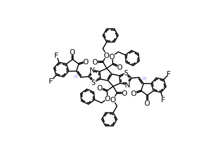 O=C1C(=O)c2c(F)cc(F)cc2/C1=C/c1nc2c(s1)C1=C(c3sc(/C=C4\C(=O)C(=O)c5c(F)cc(F)cc54)nc3C1(C(=O)OCc1ccccc1)C(=O)OCc1ccccc1)C2(C(=O)OCc1ccccc1)C(=O)OCc1ccccc1